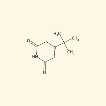 CC(C)(C)N1CC(=O)NC(=O)C1